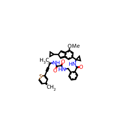 C=C1C=CSC(C#C[C@H](C)NC(=O)C(=O)NCc2ccccc2C(=O)NC2(c3cc(OC)c4c(c3)=CC(C3CC3)C=4)CC2)=C1